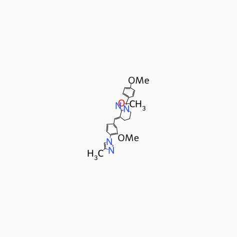 COc1ccc(C2(C)ON=C3C(=Cc4ccc(-n5cnc(C)c5)c(OC)c4)CCCN32)cc1